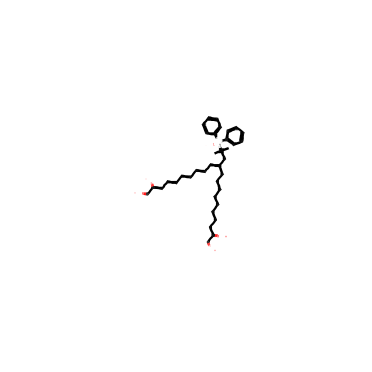 CC(C)(CC(CCCCCCCCC(O)CO)CCCCCCCCC(O)CO)[Si](O)(c1ccccc1)c1ccccc1